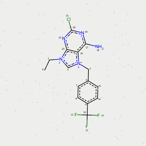 CCn1c[n+](Cc2ccc(C(F)(F)F)cc2)c2c(N)nc(Cl)nc21